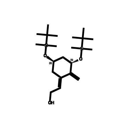 C=C1C(=CCO)C[C@@H](O[Si](C)(C)C(C)(C)C)C[C@@H]1O[Si](C)(C)C(C)(C)C